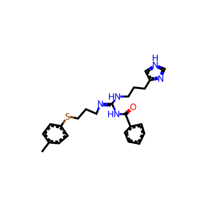 Cc1ccc(SCCC/N=C(/NCCCc2c[nH]cn2)NC(=O)c2ccccc2)cc1